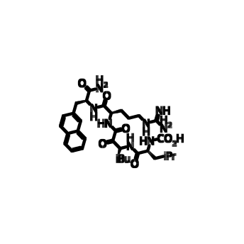 CC[C@H](C)C(NC(=O)[C@H](CC(C)C)NC(=O)O)C(=O)C(=O)N[C@H](CCCNC(=N)N)C(=O)N[C@@H](Cc1ccc2ccccc2c1)C(N)=O